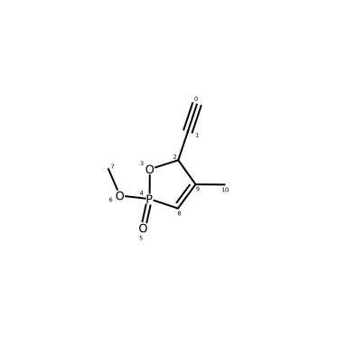 C#CC1OP(=O)(OC)C=C1C